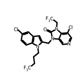 O=c1n(Cc2cc3cc(Cl)ccc3n2CCCC(F)(F)F)c2cncc(Cl)c2n1CC(F)(F)F